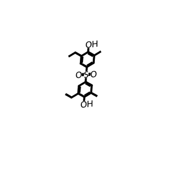 CCc1cc(S(=O)(=O)c2cc(C)c(O)c(CC)c2)cc(C)c1O